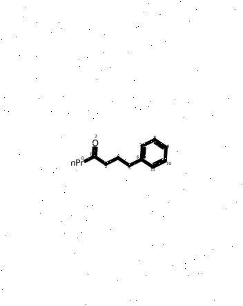 CCCC(=O)CCCc1ccccc1